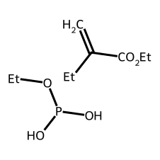 C=C(CC)C(=O)OCC.CCOP(O)O